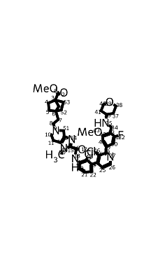 COC(=O)C12CCC(CCN3CCc4c(nc(C(=O)Nc5cccc(-c6ccnc(-c7cc(F)c(CNC8CCOCC8)c(OC)c7)c6Cl)c5Cl)n4C)C3)(CC1)C2